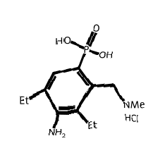 CCc1cc(P(=O)(O)O)c(CNC)c(CC)c1N.Cl